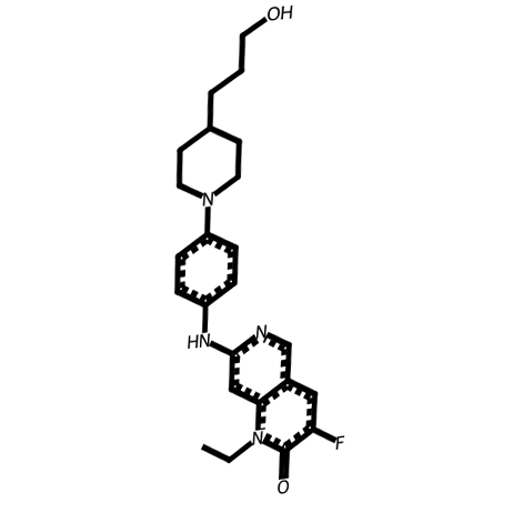 CCn1c(=O)c(F)cc2cnc(Nc3ccc(N4CCC(CCCO)CC4)cc3)cc21